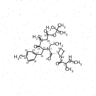 CCN(C(=O)[C@@H]1CCN1C(=O)C(C)NC)C(Cc1ccc(C)cc1)C(=O)N(C)CC(=O)OC(C)(C)C